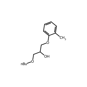 CCCCOCC(O)COc1ccccc1C